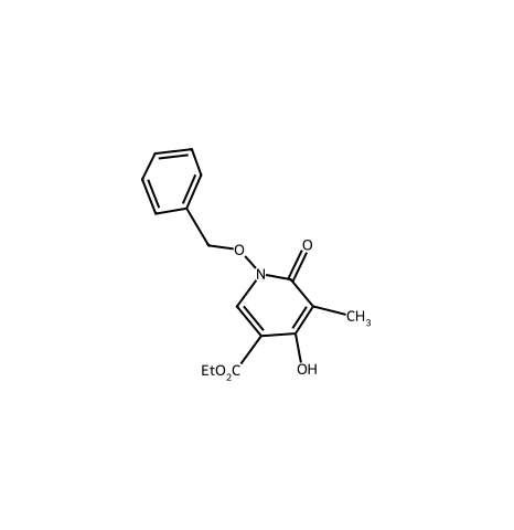 CCOC(=O)c1cn(OCc2ccccc2)c(=O)c(C)c1O